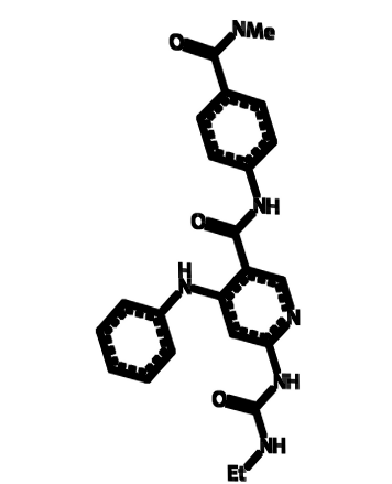 CCNC(=O)Nc1cc(Nc2ccccc2)c(C(=O)Nc2ccc(C(=O)NC)cc2)cn1